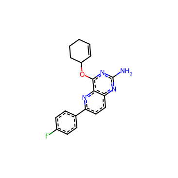 Nc1nc(OC2C=CCCC2)c2nc(-c3ccc(F)cc3)ccc2n1